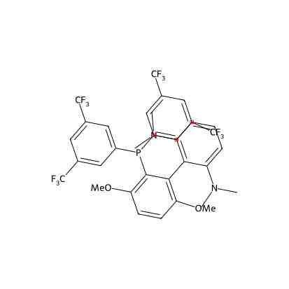 COc1ccc(OC)c(P(c2cc(C(F)(F)F)cc(C(F)(F)F)c2)c2cc(C(F)(F)F)cc(C(F)(F)F)c2)c1-c1c(N(C)C)cccc1N(C)C